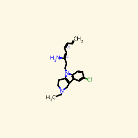 C=C/C=C\C=C(/N)CCn1c2c(c3cc(Cl)ccc31)CN(CC)CC2